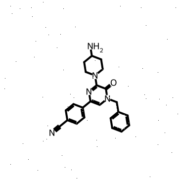 N#Cc1ccc(-c2cn(Cc3ccccc3)c(=O)c(N3CCC(N)CC3)n2)cc1